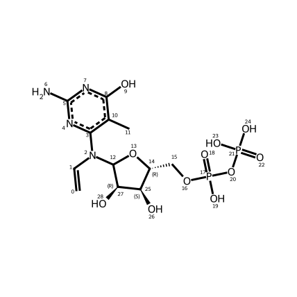 C=CN(c1nc(N)nc(O)c1C)C1O[C@H](COP(=O)(O)OP(=O)(O)O)[C@@H](O)[C@H]1O